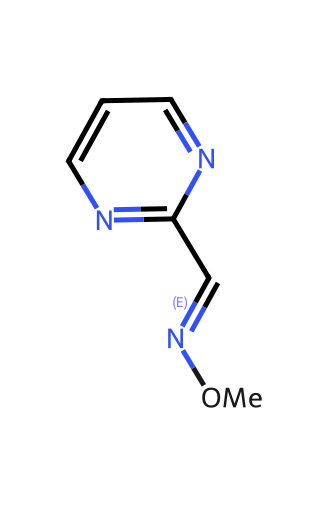 CO/N=C/c1ncccn1